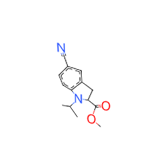 COC(=O)C1Cc2cc(C#N)ccc2N1C(C)C